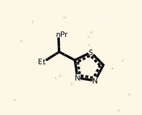 CCCC(CC)c1nncs1